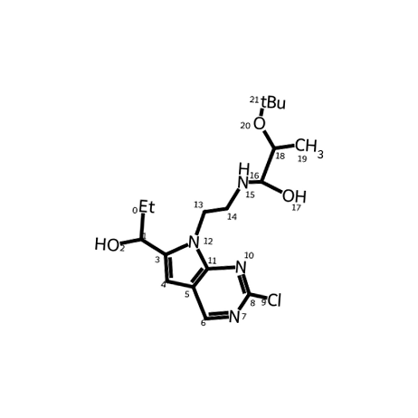 CCC(O)c1cc2cnc(Cl)nc2n1CCNC(O)C(C)OC(C)(C)C